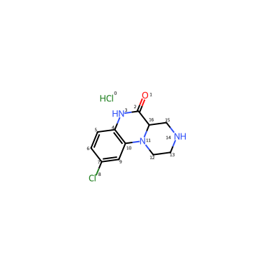 Cl.O=C1Nc2ccc(Cl)cc2N2CCNCC12